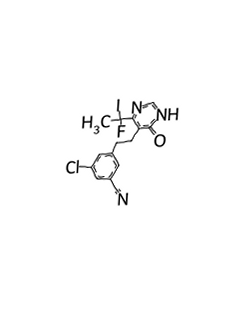 CC(F)(I)c1nc[nH]c(=O)c1CCc1cc(Cl)cc(C#N)c1